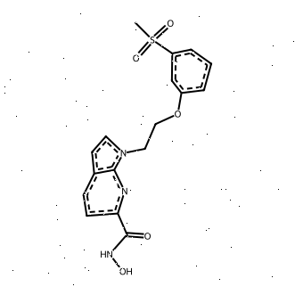 CS(=O)(=O)c1cccc(OCCn2ccc3ccc(C(=O)NO)nc32)c1